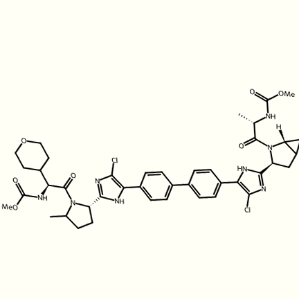 COC(=O)N[C@@H](C)C(=O)N1[C@@H]2CC2C[C@H]1c1nc(Cl)c(-c2ccc(-c3ccc(-c4[nH]c([C@@H]5CCC(C)N5C(=O)[C@@H](NC(=O)OC)C5CCOCC5)nc4Cl)cc3)cc2)[nH]1